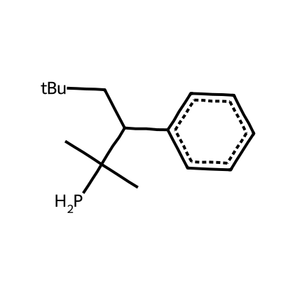 CC(C)(C)CC(c1ccccc1)C(C)(C)P